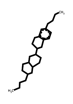 CCCCc1ccc2c(c1)CCC(C1CCC3CC(CCCC)CCC3C1)C2